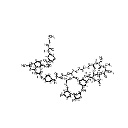 CCCNC(=O)Nc1cccc(S(=O)(=O)Nc2cccc(C(CC(=O)O)NC(=O)Nc3ccc(NC(=O)NCCOCCOCCOCCC(=O)NC(C)C(=O)N(C)C(C)C(=O)NC(CC(N)=O)C(=O)N=S(C)(=O)Cc4cc5cc(c4)OCCCCOc4cc(F)ccc4-c4nc(ncc4F)N5)cc3)c2)c1